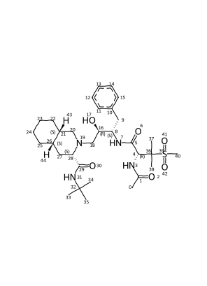 CC(=O)N[C@H](C(=O)N[C@@H](Cc1ccccc1)[C@H](O)CN1C[C@H]2CCCC[C@H]2C[C@H]1C(=O)NC(C)(C)C)C(C)(C)S(C)(=O)=O